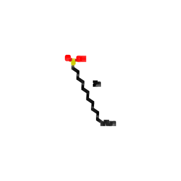 CCCCCCCCCCCCCCCCCCCCS(=O)O.[Zn]